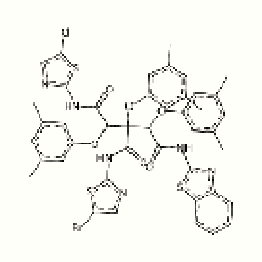 Cc1cc(C)cc(OC(C(=O)Nc2ncc(Cl)s2)C(Oc2cc(C)cc(C)c2)(C(=O)Nc2ncc(Br)s2)C(Oc2cc(C)cc(C)c2)C(=O)Nc2nc3ccccc3s2)c1